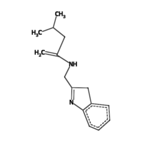 C=C(CC(C)C)NCC1=Nc2ccccc2C1